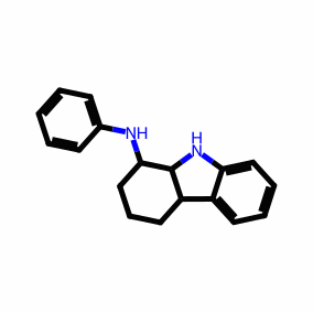 c1ccc(NC2CCCC3c4ccccc4NC23)cc1